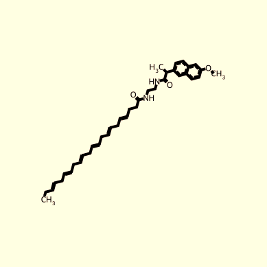 CCC=CCC=CCC=CCC=CCC=CCC=CCCC(=O)NCCNC(=O)C(C)c1ccc2cc(OC)ccc2c1